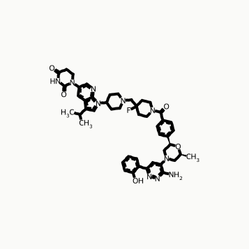 CC(C)c1cn(C2CCN(CC3(F)CCN(C(=O)c4ccc([C@@H]5CN(c6cc(-c7ccccc7O)nnc6N)C[C@H](C)O5)cc4)CC3)CC2)c2ncc(N3CCC(=O)NC3=O)cc12